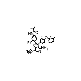 C=C(C)C(=O)Nc1ccc(-c2sc3c(-c4cnn(C)c4)cnc(N)c3c2-c2ccc(Oc3nccc(C)n3)c(F)c2)c(CC)c1